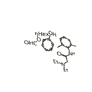 CCCCCCOC=O.CCN(CC)CC(=O)Nc1c(C)cccc1C.Oc1ccccc1